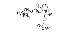 COC(=O)CCOCC(Nc1cnn(COCC[Si](C)(C)C)c(=O)c1C(F)(F)F)C(C)C